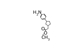 CCOC(=O)CC1CCC(c2ccc(N)cc2)C1